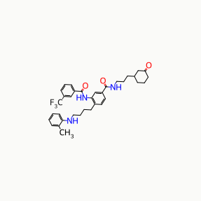 Cc1ccccc1NCCCCc1ccc(C(=O)NCCCC2CCCC(=O)C2)cc1NC(=O)c1cccc(C(F)(F)F)c1